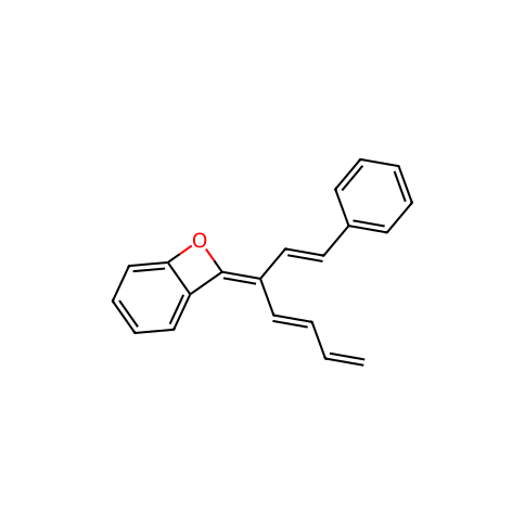 C=CC=CC(C=Cc1ccccc1)=C1Oc2ccccc21